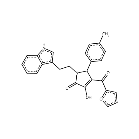 Cc1ccc(C2C(C(=O)c3ccco3)=C(O)C(=O)N2CCc2c[nH]c3ccccc23)cc1